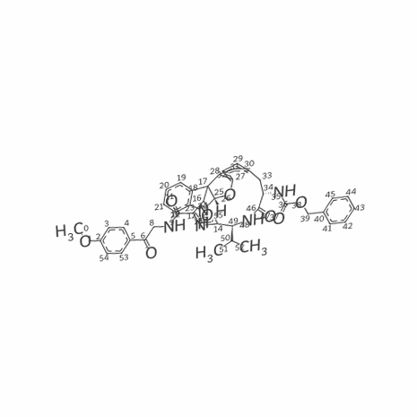 COc1ccc(C(=O)CNC(=O)c2nc3oc2C24c5ccccc5N[C@H]2Oc2ccc(cc24)C[C@H](NC(=O)OCc2ccccc2)C(=O)N[C@H]3C(C)C)cc1